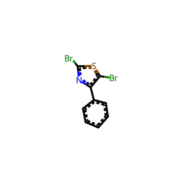 Brc1nc(-c2ccccc2)c(Br)s1